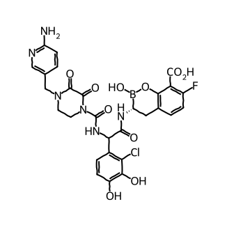 Nc1ccc(CN2CCN(C(=O)NC(C(=O)N[C@H]3Cc4ccc(F)c(C(=O)O)c4OB3O)c3ccc(O)c(O)c3Cl)C(=O)C2=O)cn1